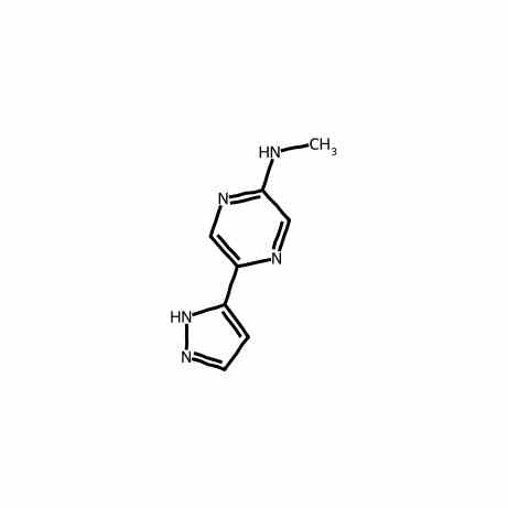 CNc1cnc(-c2ccn[nH]2)cn1